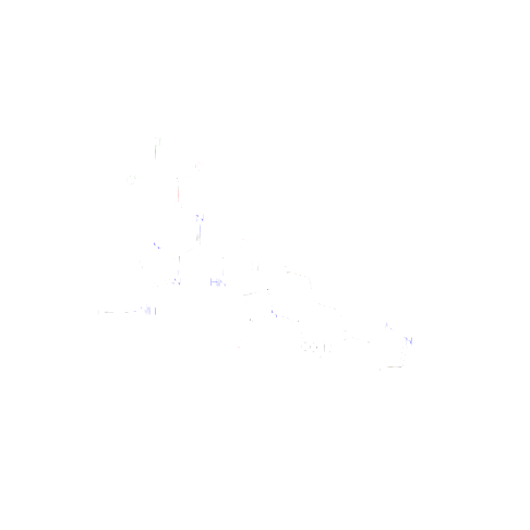 O=CNc1nc(/C(=N\OC(=O)C(Cl)Cl)C(=O)NC2C(=O)N3C(C(=O)O)=C(CSc4nncs4)CS[C@H]23)ns1